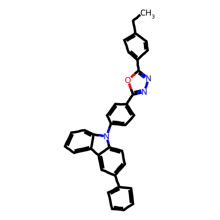 CCc1ccc(-c2nnc(-c3ccc(-n4c5ccccc5c5cc(-c6ccccc6)ccc54)cc3)o2)cc1